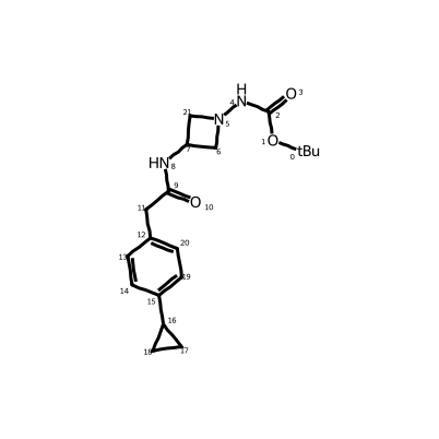 CC(C)(C)OC(=O)NN1CC(NC(=O)Cc2ccc(C3CC3)cc2)C1